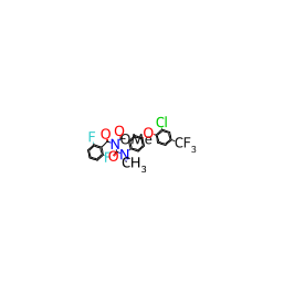 COC(=O)N(C(=O)c1c(F)cccc1F)C(=O)N(C)c1ccc(Oc2ccc(C(F)(F)F)cc2Cl)cc1